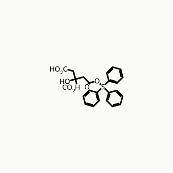 O=C(O)CC(O)(CC(=O)OS(c1ccccc1)(c1ccccc1)c1ccccc1)C(=O)O